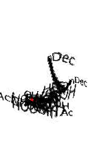 CCCCCCCCCCCCC/C=C/[C@@H](O)[C@H](CO[C@@H]1OC(CO)[C@@H](O[C@@H]2OC(CO)[C@H](O)[C@H](O[C@@H]3OC(CO)[C@@H](O[C@@H]4OC(CO)[C@H](O)[C@H](O[C@]5(C(=O)O)CC(O)[C@@H](NC(C)=O)C([C@H](O)[C@H](O)CO)O5)C4O)[C@H](O)C3NC(C)=O)C2O)[C@H](O)C1O)NC(=O)CCCCCCCCCCCCCCCCCCCCCCCCC